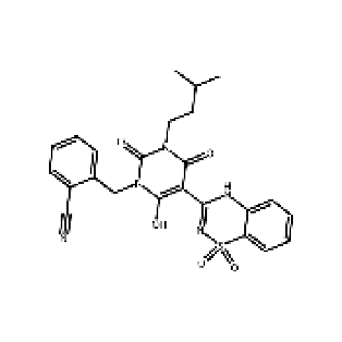 CC(C)CCn1c(=O)c(C2=NS(=O)(=O)c3ccccc3N2)c(O)n(Cc2ccccc2C#N)c1=O